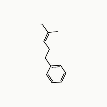 [CH2]C(C)=CCCc1ccccc1